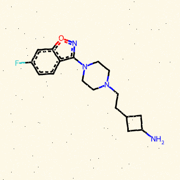 NC1CC(CCN2CCN(c3noc4cc(F)ccc34)CC2)C1